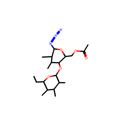 CCC1OC(OC2C(COC(C)=O)OC(N=[N+]=[N-])C(C)C2C)C(C)C(C)C1C